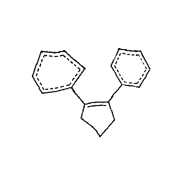 c1ccc(C2=C(c3ccccc3)CCC2)cc1